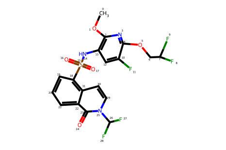 COc1nc(OCC(F)F)c(F)cc1NS(=O)(=O)c1cccc2c(=O)n(C(F)F)ccc12